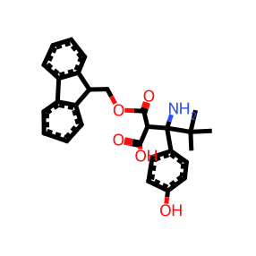 CC(C)(C)C(N)(c1ccc(O)cc1)C(C(=O)O)C(=O)OCC1c2ccccc2-c2ccccc21